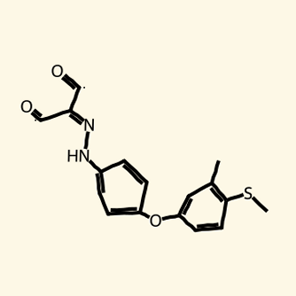 CSc1ccc(Oc2ccc(NN=C([C]=O)[C]=O)cc2)cc1C